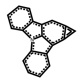 C1=c2cc3c4ccccc4n4c5ccccc5c(c2=1)c34